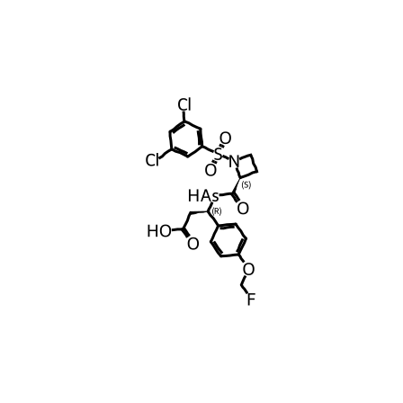 O=C(O)C[C@@H]([AsH]C(=O)[C@@H]1CCN1S(=O)(=O)c1cc(Cl)cc(Cl)c1)c1ccc(OCF)cc1